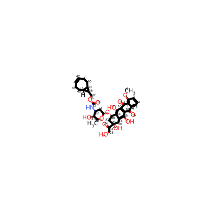 COc1cccc2c1C(=O)c1c(O)c3c(c(O)c1C2=O)C[C@@](O)(C(=O)CO)C[C@@H]3O[C@H]1C[C@H](NC(=O)OCC2C3CCC#CCC[C@H]32)[C@H](O)[C@H](C)O1